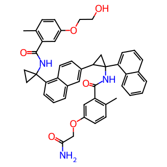 Cc1ccc(OCCO)cc1C(=O)NC1(c2cccc3cc(C4CC4(NC(=O)c4cc(OCC(N)=O)ccc4C)c4cccc5ccccc45)ccc23)CC1